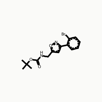 CC(C)(C)OC(=O)NCc1cc(-c2ccccc2Br)no1